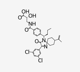 C=C(C)C1CCC2(CC1)N=C(c1cc(Cl)cc(Cl)c1)C(=O)N2[C@H](CCC)c1ccc(C(=O)NC[C@@H](O)C(=O)O)cc1